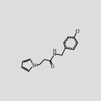 O=C(CC[SH]1C=CC=C1)NCc1ccc(Cl)cc1